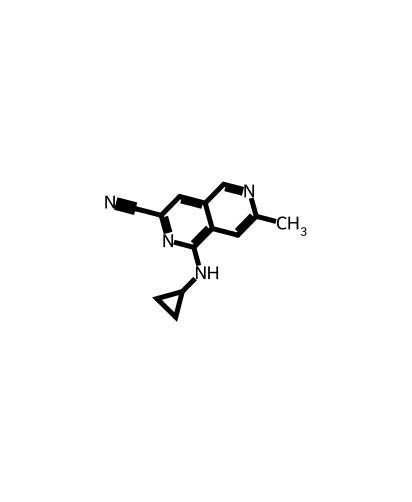 Cc1cc2c(NC3CC3)nc(C#N)cc2cn1